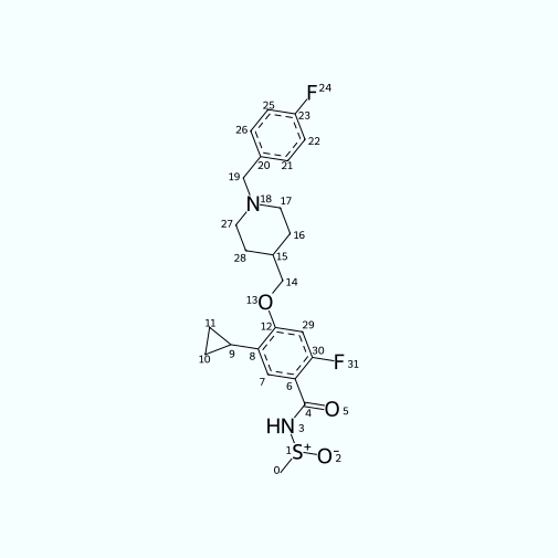 C[S+]([O-])NC(=O)c1cc(C2CC2)c(OCC2CCN(Cc3ccc(F)cc3)CC2)cc1F